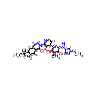 CCn1cc(Nc2nc(-c3ccnc(-n4ncc5cc(C(C)(C)C)cc(F)c5c4=O)c3CO)cn(C)c2=O)cn1